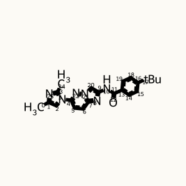 Cc1cn(-c2ccc3nc(NC(=O)c4ccc(C(C)(C)C)cc4)cn3n2)c(C)n1